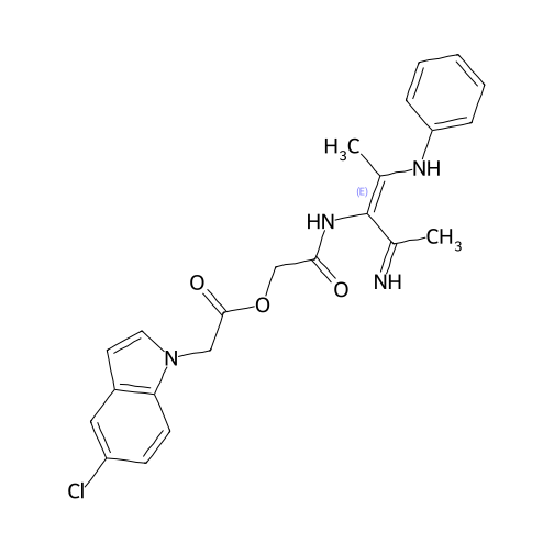 CC(=N)/C(NC(=O)COC(=O)Cn1ccc2cc(Cl)ccc21)=C(/C)Nc1ccccc1